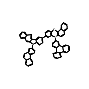 c1ccc2cc3c(cc2c1)c1cc(-c2ccc4c(c2)N(c2ccc5c6ccccc6c6ccccc6c5c2)c2ccc5ccccc5c2O4)ccc1n3-c1ccc2c(ccc3ccccc32)c1